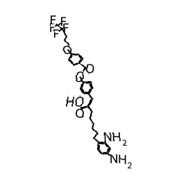 Nc1ccc(CCCCCCC(=Cc2ccc(OC(=O)c3ccc(OCCCC(F)(F)C(F)(F)F)cc3)cc2)C(=O)O)c(N)c1